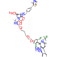 Cc1ncsc1-c1ccc(CNC(=O)[C@@H]2C[C@@H](O)CN2C(=O)[C@@H](NC(=O)COCCCOCCOc2cc(F)c([C@@H]3c4[nH]c5ccccc5c4C[C@@H](C)N3CC(C)(C)F)c(F)c2)C(C)(C)C)cc1